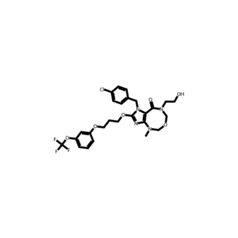 CN1COCN(CCO)C(=O)c2c1nc(OCCCOc1cccc(OC(F)(F)F)c1)n2Cc1ccc(Cl)cc1